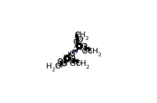 C=CC(=O)Oc1cc(/C=C/OCc2ccc(OC(=O)C=C)cc2OC(=O)C=C)cc(OC(=O)C=C)c1